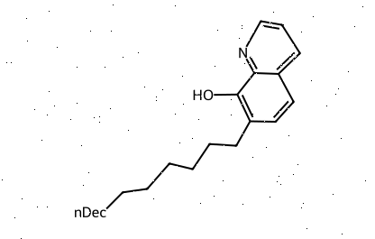 CCCCCCCCCCCCCCCCc1ccc2cccnc2c1O